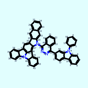 c1ccc(-n2c3ccccc3c3ccc(-c4nnc(-n5c6cc7ccccc7cc6c6cc7c8ccccc8n8c9ccccc9c(c65)c78)c5ccccc45)cc32)cc1